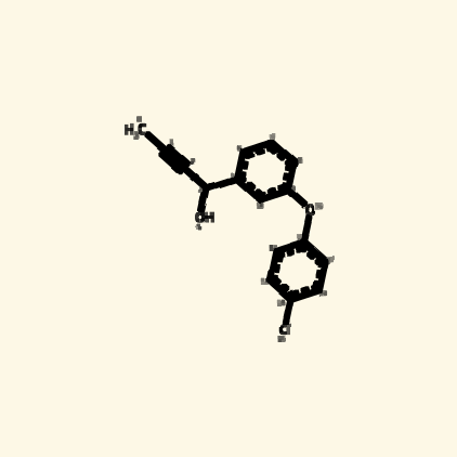 CC#CC(O)c1cccc(Oc2ccc(Cl)cc2)c1